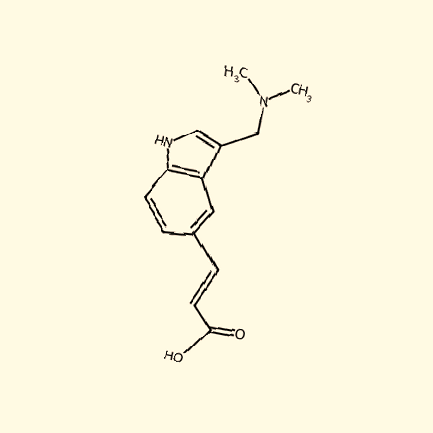 CN(C)Cc1c[nH]c2ccc(C=CC(=O)O)cc12